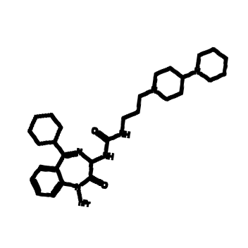 CCCN1C(=O)C(NC(=O)NCCCN2CCC(N3CCCCC3)CC2)N=C(C2CCCCC2)c2ccccc21